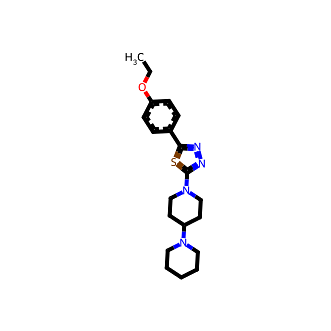 CCOc1ccc(-c2nnc(N3CCC(N4CCCCC4)CC3)s2)cc1